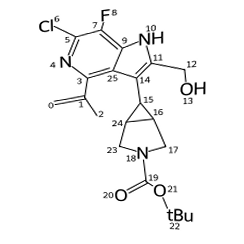 C=C(C)c1nc(Cl)c(F)c2[nH]c(CO)c(C3C4CN(C(=O)OC(C)(C)C)CC43)c12